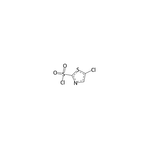 O=S(=O)(Cl)c1ncc(Cl)s1